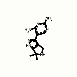 CC1(C)NCc2c(-c3cnc(N)nc3N)n[nH]c21